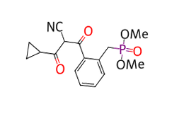 COP(=O)(Cc1ccccc1C(=O)C(C#N)C(=O)C1CC1)OC